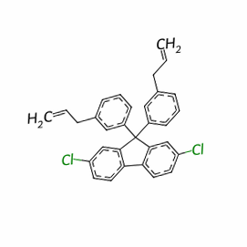 C=CCc1cccc(C2(c3cccc(CC=C)c3)c3cc(Cl)ccc3-c3ccc(Cl)cc32)c1